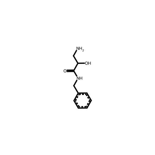 NCC(O)C(=O)NCc1ccccc1